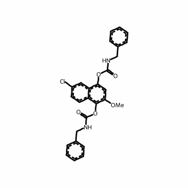 COc1cc(OC(=O)NCc2ccccc2)c2cc(Cl)ccc2c1OC(=O)NCc1ccccc1